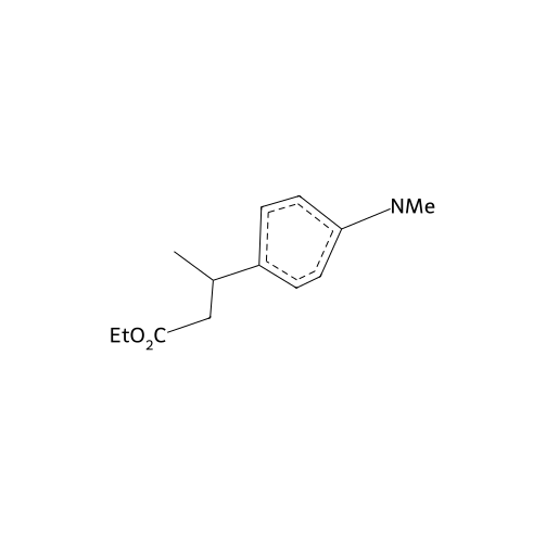 CCOC(=O)CC(C)c1ccc(NC)cc1